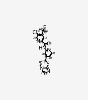 C[C@H](Sc1nncn1C)c1ccnc(NC(=O)c2cc(C(F)(F)F)c(Cl)cn2)c1